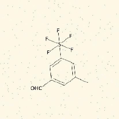 Cc1cc(C=O)cc(S(F)(F)(F)(F)F)c1